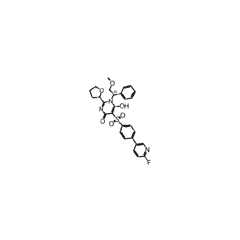 COC[C@@H](c1ccccc1)n1c(C2CCCO2)nc(=O)c(S(=O)(=O)c2ccc(-c3ccc(F)nc3)cc2)c1O